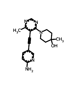 Cc1ncnc(N2CCC(C)(O)CC2)c1C#Cc1ccc(N)nc1